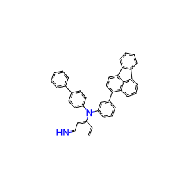 C=C/C(=C\C=N)N(c1ccc(-c2ccccc2)cc1)c1cccc(-c2ccc3c4c(cccc24)-c2ccccc2-3)c1